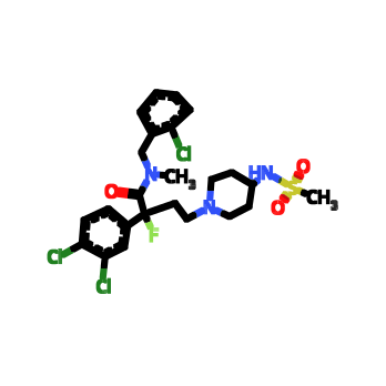 CN(Cc1ccccc1Cl)C(=O)C(F)(CCN1CCC(NS(C)(=O)=O)CC1)c1ccc(Cl)c(Cl)c1